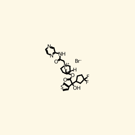 O=C(C[N+]12CCC(CC1)[C@@H](OC(=O)C(O)(c1ccsc1)C1CCC(F)(F)C1)C2)Nc1cnccn1.[Br-]